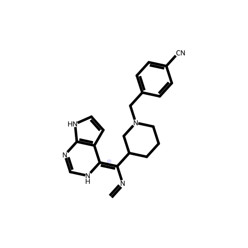 C=N/C(=C1\NC=Nc2[nH]ccc21)C1CCCN(Cc2ccc(C#N)cc2)C1